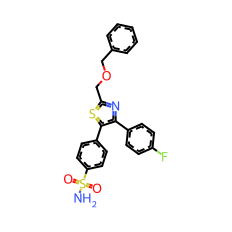 NS(=O)(=O)c1ccc(-c2sc(COCc3ccccc3)nc2-c2ccc(F)cc2)cc1